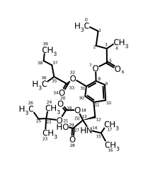 CCCC(C)C(=O)Oc1ccc(C[C@](NC(C)C)(OC(=O)OC(C)(C)CC)C(=O)O)cc1OC(=O)C(C)CCC